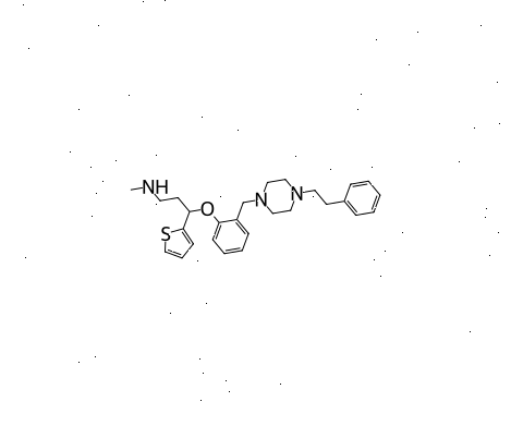 CNCCC(Oc1ccccc1CN1CCN(CCc2ccccc2)CC1)c1cccs1